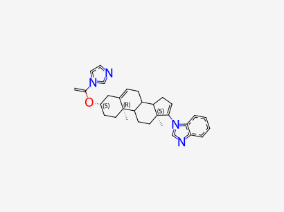 C=C(O[C@H]1CC[C@@]2(C)C(=CCC3C2CC[C@]2(C)C(n4cnc5ccccc54)=CCC32)C1)n1ccnc1